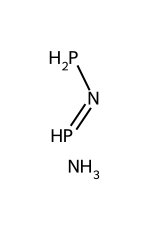 N.P=NP